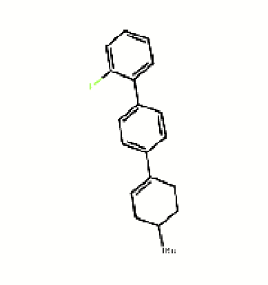 CC(C)(C)C1CC=C(c2ccc(-c3ccccc3F)cc2)CC1